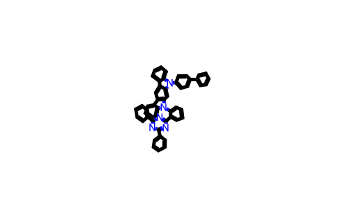 c1ccc(-c2ccc(-n3c4ccccc4c4cc5c6ccccc6n(-c6ccccc6-c6nc(-c7ccccc7)nc(-c7ccccc7)n6)c5cc43)cc2)cc1